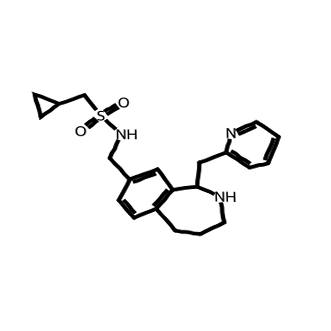 O=S(=O)(CC1CC1)NCc1ccc2c(c1)C(Cc1ccccn1)NCCC2